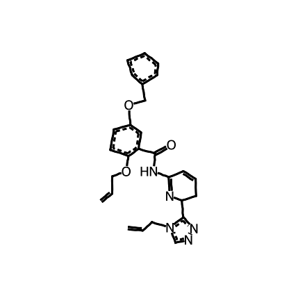 C=CCOc1ccc(OCc2ccccc2)cc1C(=O)NC1=NC(c2nncn2CC=C)CC=C1